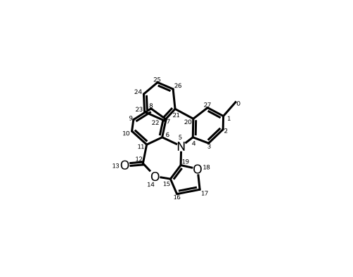 Cc1ccc(N2c3ccccc3C(=O)Oc3ccoc32)c(-c2ccccc2)c1